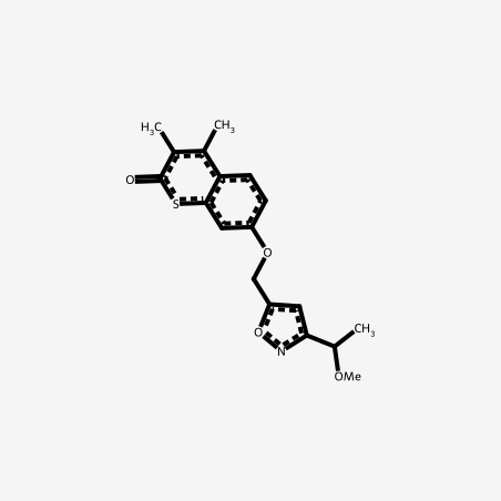 COC(C)c1cc(COc2ccc3c(C)c(C)c(=O)sc3c2)on1